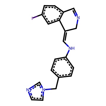 Ic1ccc2c(c1)C(=CNc1ccc(Cn3ccnc3)cc1)CN=C2